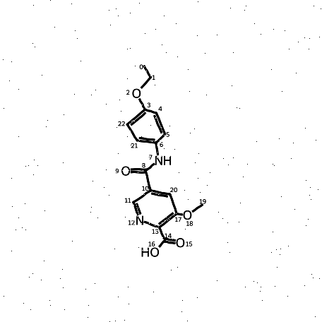 CCOc1ccc(NC(=O)c2cnc(C(=O)O)c(OC)c2)cc1